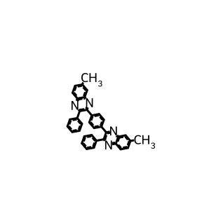 Cc1ccc2nc(-c3ccccc3)c(-c3ccc(-c4nc5cc(C)ccc5nc4-c4ccccc4)cc3)nc2c1